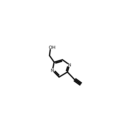 C#Cc1cnc(CO)cn1